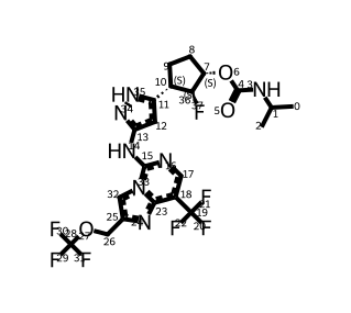 CC(C)NC(=O)O[C@H]1CC[C@@H](c2cc(Nc3ncc(C(F)(F)F)c4nc(COC(F)(F)F)cn34)n[nH]2)[C@@H]1F